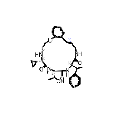 CC(O)[C@H]1C(=O)N[C@H](C(C)c2ccccc2)C(=O)NC/C=C/c2ccccc2OCCN[C@@H](C2CC2)C(=O)N1C